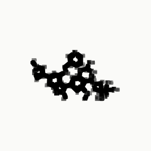 COc1cc(-c2c3c(OCc4cccnc4)cc(-c4cnn(C)c4)cc3nn2C)cc(OC(F)F)c1C(=O)N1CC(O)(C(F)(F)F)C1